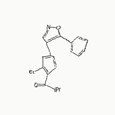 CCc1cc(-c2cnoc2-c2ccccc2)ccc1C(=O)C(C)C